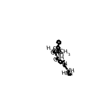 Cc1cc(-c2ccccc2)cc(C)c1S(=O)(=O)NC(CNC(=O)c1ccc2c(cnn2CCCNC2=NCCN2)c1)C(=O)O